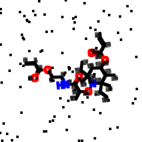 C=CC(=O)OCCNC(=O)C(C)ON1C(C)(CC)CC(OC(=O)C=C)C(C)C1(C)CC